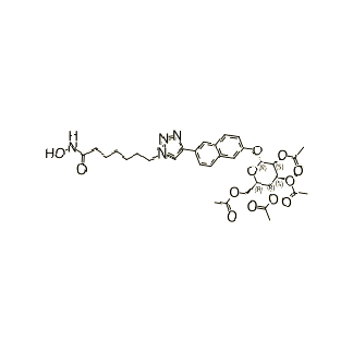 CC(=O)OC[C@H]1O[C@H](Oc2ccc3cc(-c4cn(CCCCCCC(=O)NO)nn4)ccc3c2)[C@@H](OC(C)=O)[C@@H](OC(C)=O)[C@@H]1OC(C)=O